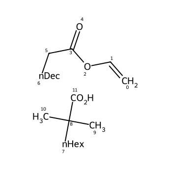 C=COC(=O)CCCCCCCCCCC.CCCCCCC(C)(C)C(=O)O